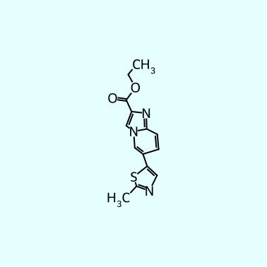 CCOC(=O)c1cn2cc(-c3cnc(C)s3)ccc2n1